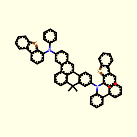 CC1(C)c2cc(N(c3ccccc3-c3ccccc3)c3cccc4c3sc3ccccc34)ccc2-c2cc3ccc(N(c4ccccc4)c4cccc5c4sc4ccccc45)cc3c3cccc1c23